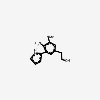 CNc1cc(CCO)cc(-c2ccc[nH]2)c1N